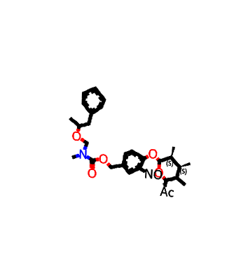 CC(=O)C1OC(Oc2ccc(COC(=O)N(C)COC(C)Cc3ccccc3)cc2[N+](=O)[O-])[C@@H](C)[C@@H](C)C1C